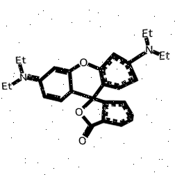 CCN(CC)c1ccc2c(c1)OC1=CC(=[N+](CC)CC)C=CC1C21OC(=O)c2ccccc21